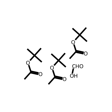 CC(=O)OC(C)(C)C.CC(=O)OC(C)(C)C.CC(=O)OC(C)(C)C.O=CO